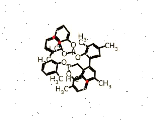 Cc1cc(C)c(CP(Oc2ccccc2C)Oc2ccccc2C)c(-c2cc(C)cc(C)c2OP(Oc2ccccc2C)Oc2ccccc2C)c1